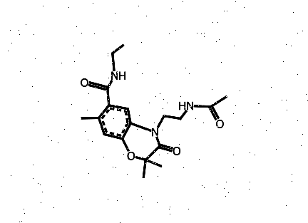 CCNC(=O)c1cc2c(cc1C)OC(C)(C)C(=O)N2CCNC(C)=O